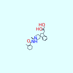 C=C(NC(=O)C1=C(C)CCCC1)N1CCC2(CC1)CC(C[C@H](O)CO)c1ccccc12